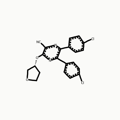 N#Cc1nc(-c2ccc(Cl)cc2)c(-c2ccc(Cl)cc2)nc1O[C@@H]1CCOC1